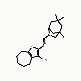 CC1(C)CC2CC(C)(CN2/C=N/c2sc3c(c2C#N)CCCCC3)C1